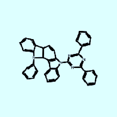 C1=CC2c3ccccc3N(c3ccccc3)C2c2c1n(-c1nc(-c3ccccc3)nc(-c3ccccc3)n1)c1ccccc21